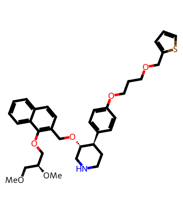 COC[C@@H](COc1c(CO[C@H]2CNCC[C@@H]2c2ccc(OCCCOCc3cccs3)cc2)ccc2ccccc12)OC